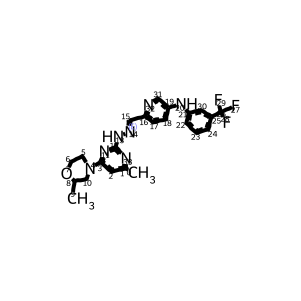 Cc1cc(N2CCOC(C)C2)nc(N/N=C/c2ccc(Nc3cccc(C(F)(F)F)c3)cn2)n1